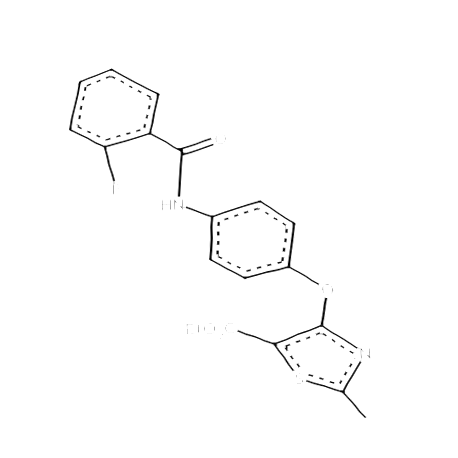 CCOC(=O)c1sc(C)nc1Oc1ccc(NC(=O)c2ccccc2F)cc1